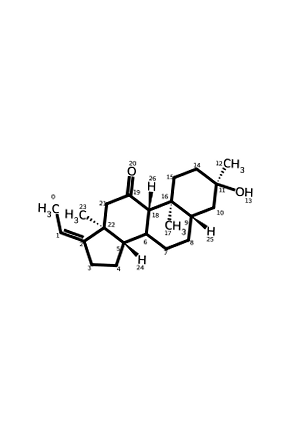 C/C=C1/CC[C@H]2C3CC[C@H]4C[C@](C)(O)CC[C@]4(C)[C@H]3C(=O)C[C@]12C